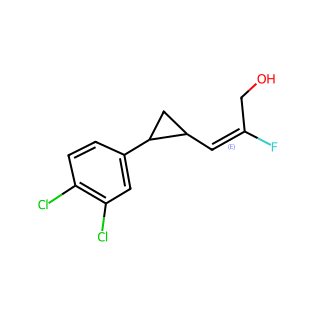 OC/C(F)=C\C1CC1c1ccc(Cl)c(Cl)c1